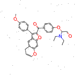 CCN(CC)C(C=O)Oc1ccc(C(=O)c2oc3cc4c(cc3c2-c2ccc(OC)cc2)CC=CO4)cc1